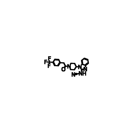 N#CNc1nc2ccccc2n1C1CCN(C(=O)Cc2ccc(C(F)(F)F)cc2)CC1